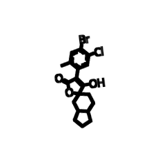 Cc1cc(Br)c(Cl)cc1C1=C(O)C2(CCC3CCCC3C2)OC1=O